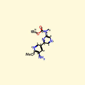 COc1ncc(-c2cncc(N(C)C(=O)OC(C)(C)C)n2)cc1N